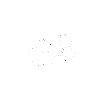 N#CC=C(c1cccc2ccccc12)c1cccc2ccccc12